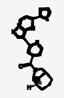 O=C(c1ccnc(-c2cnn3ccc(-c4cccs4)nc23)c1)N1CC2CCC[C@@H](C1)NC2